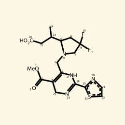 COC(=O)C1=C(CN2CC(F)(F)CC2C(C)CC(=O)O)NC(c2nccs2)=NC1